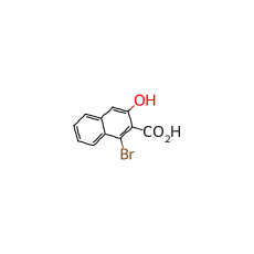 O=C(O)c1c(O)cc2ccccc2c1Br